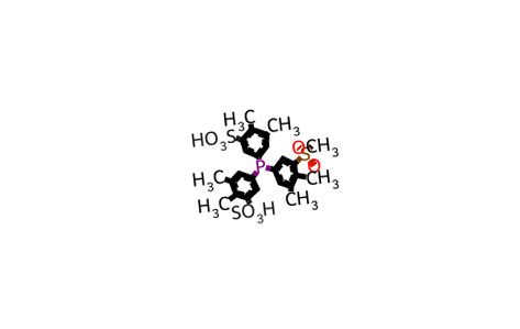 Cc1cc(P(c2cc(C)c(C)c(S(=O)(=O)O)c2)c2cc(C)c(C)c(S(=O)(=O)O)c2)cc(S(C)(=O)=O)c1C